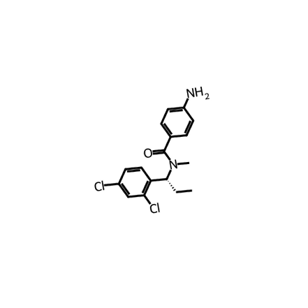 CC[C@H](c1ccc(Cl)cc1Cl)N(C)C(=O)c1ccc(N)cc1